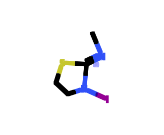 C/N=C1\SCCN1I